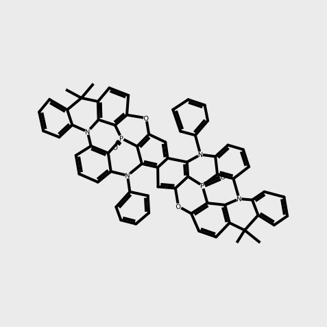 CC1(C)c2ccccc2N2c3cccc4c3P3(=O)c5c(ccc1c52)Oc1cc2c5c6c(cc2c(c13)N4c1ccccc1)Oc1ccc2c3c1P6(=O)c1c(cccc1N5c1ccccc1)N3c1ccccc1C2(C)C